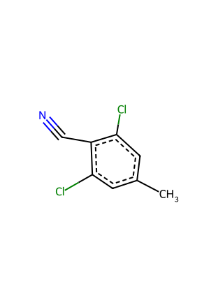 Cc1cc(Cl)c(C#N)c(Cl)c1